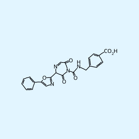 O=C(O)c1ccc(CNC(=O)N2C(=O)C=NC(c3ncc(-c4ccccc4)o3)C2=O)cc1